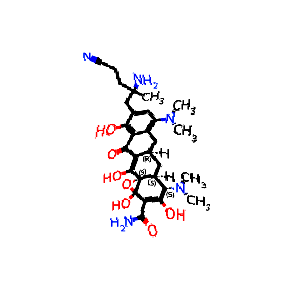 CN(C)c1cc(CC(C)(N)CCC#N)c(O)c2c1C[C@H]1C[C@H]3[C@H](N(C)C)C(O)=C(C(N)=O)C4(O)O[C@]34C(O)=C1C2=O